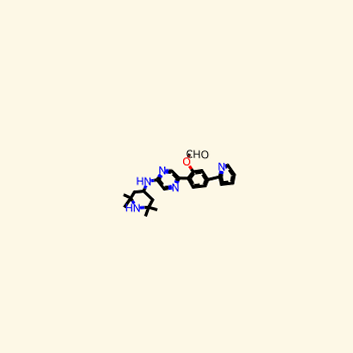 CC1(C)CC(Nc2cnc(-c3ccc(-c4ccccn4)cc3OC=O)cn2)CC(C)(C)N1